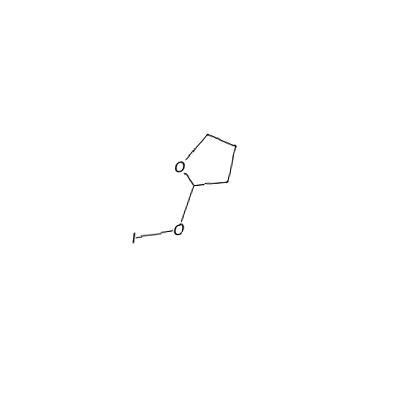 IOC1CCCO1